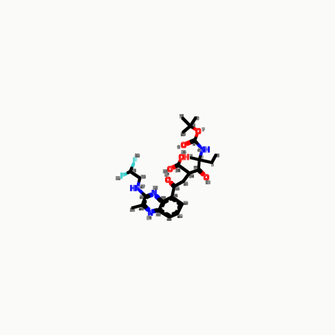 CCC(C)(NC(=O)OC(C)(C)C)C(=O)C(CC(=O)c1cccc2nc(C)c(NCC(F)F)nc12)C(=O)O